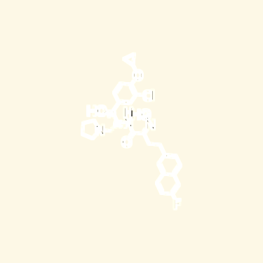 O=C(N[C@H](CN1CCCC1)[C@H](O)c1ccc(OC2CC2)c(Cl)c1)C(CCc1ccc2cc(F)ccc2c1)=NO